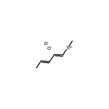 CC=CC=[CH][Ti+2][CH3].[Cl-].[Cl-]